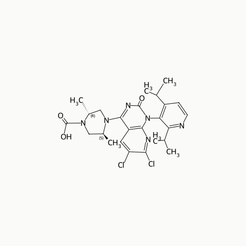 CC(C)c1ccnc(C(C)C)c1-n1c(=O)nc(N2C[C@@H](C)N(C(=O)O)C[C@@H]2C)c2cc(Cl)c(Cl)nc21